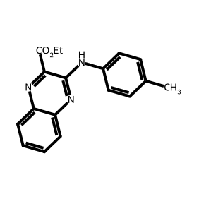 CCOC(=O)c1nc2ccccc2nc1Nc1ccc(C)cc1